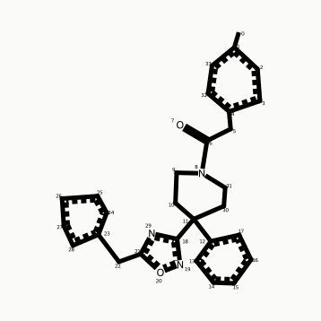 Cc1ccc(CC(=O)N2CCC(c3ccccc3)(c3noc(Cc4ccccc4)n3)CC2)cc1